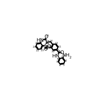 Nc1ccccc1NC(=O)c1ccc(CN2C(=O)Nc3ccccc3S2(=O)=O)c(F)c1